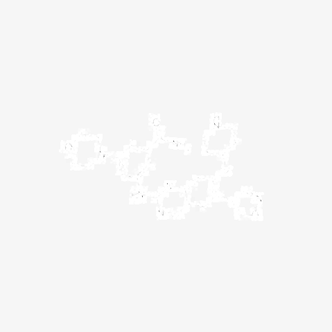 NC(=O)c1cc(Nc2ncc3cc(-c4cnoc4)c(OC4CCNCC4)cc3n2)cc(N2CCOCC2)c1